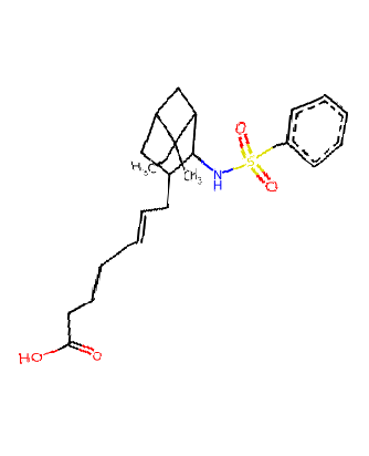 CC1(C)C2CC(CC=CCCCC(=O)O)C(NS(=O)(=O)c3ccccc3)C1C2